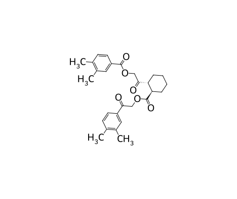 Cc1ccc(C(=O)COC(=O)[C@@H]2CCCC[C@H]2C(=O)COC(=O)c2ccc(C)c(C)c2)cc1C